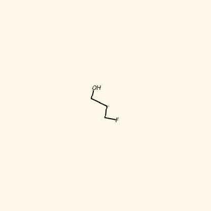 OC[CH]CF